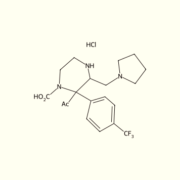 CC(=O)C1(c2ccc(C(F)(F)F)cc2)C(CN2CCCC2)NCCN1C(=O)O.Cl